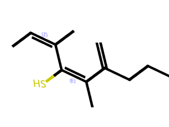 C=C(CCC)/C(C)=C(S)\C(C)=C/C